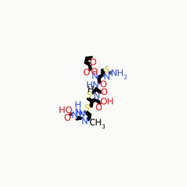 CC1=NC2=CN(C(=O)O)NN2C(SCC2=C(C(=O)O)N3C(=O)[C@@H](NC(=O)C(=NOC(=O)c4ccco4)c4csc(N)n4)[C@H]3SC2)=C1